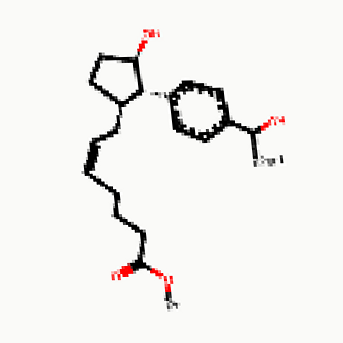 CCCCCC(O)c1ccc([C@@H]2[C@@H](C/C=C\CCCC(=O)OC(C)C)CC[C@H]2O)cc1